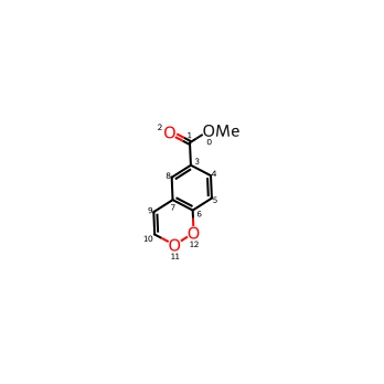 COC(=O)c1ccc2c(c1)C=COO2